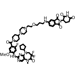 COc1cc(C(=O)N2CCC(N3CCN(CCOCCCNc4ccc5c(c4)C(=O)N(C4CCC(=O)NC4=O)C5=O)CC3)CC2)c(F)cc1Nc1ncc2c(n1)N(C1CCCC1)CC(F)(F)C(=O)N2C